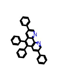 c1ccc(-c2cnc3c(c2)c(-c2ccccc2)c(-c2ccccc2)c2cc(-c4ccccc4)cnc23)cc1